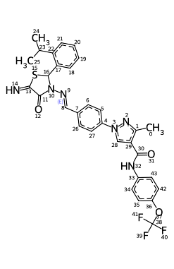 Cc1nn(-c2ccc(/C=N/N3C(=O)C(=N)SC3c3ccccc3C(C)C)cc2)cc1C(=O)Nc1ccc(OC(F)(F)F)cc1